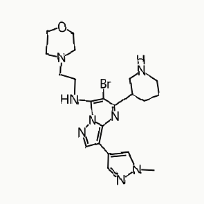 Cn1cc(-c2cnn3c(NCCN4CCOCC4)c(Br)c(C4CCCNC4)nc23)cn1